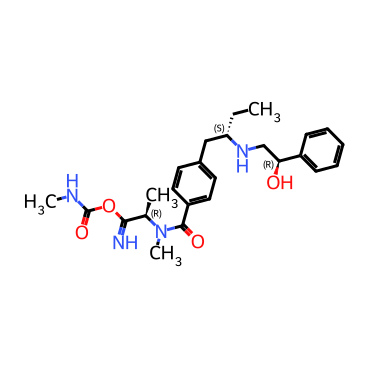 CC[C@@H](Cc1ccc(C(=O)N(C)[C@H](C)C(=N)OC(=O)NC)cc1)NC[C@H](O)c1ccccc1